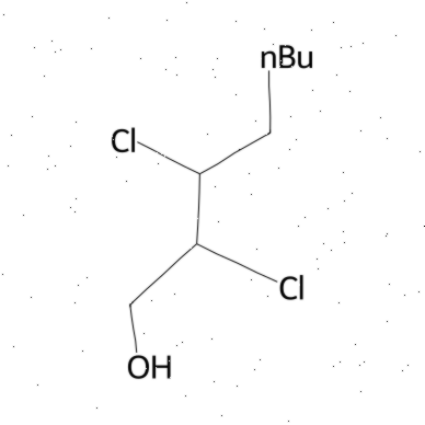 CCCCCC(Cl)C(Cl)CO